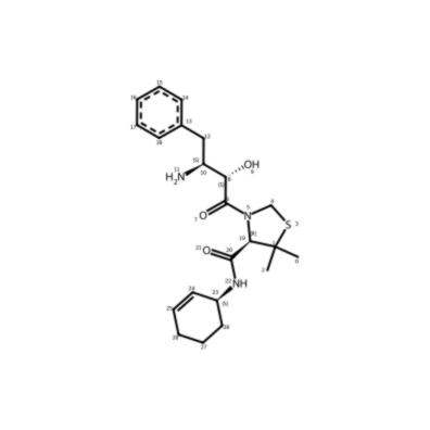 CC1(C)SCN(C(=O)[C@@H](O)[C@@H](N)Cc2ccccc2)[C@@H]1C(=O)N[C@@H]1C=CCCC1